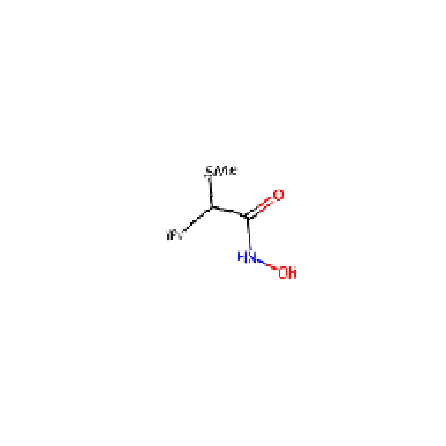 CSC(C(=O)NO)C(C)C